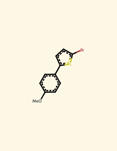 COc1ccc(-c2ccc(Br)s2)cc1